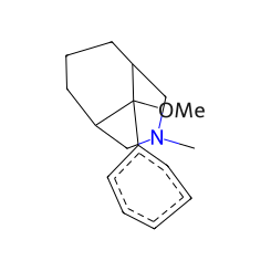 COC1(c2ccccc2)C2CCCC1CN(C)C2